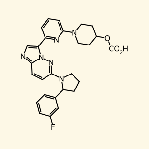 O=C(O)OC1CCN(c2cccc(-c3cnc4ccc(N5CCCC5c5cccc(F)c5)nn34)n2)CC1